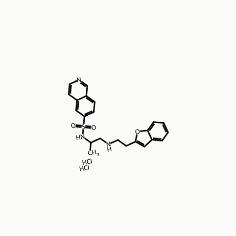 CC(CNCCc1cc2ccccc2o1)NS(=O)(=O)c1ccc2cnccc2c1.Cl.Cl